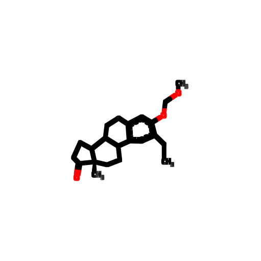 CCc1cc2c(cc1OCOC)CCC1C2CC[C@]2(C)C(=O)CCC12